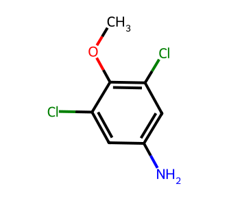 COc1c(Cl)cc(N)cc1Cl